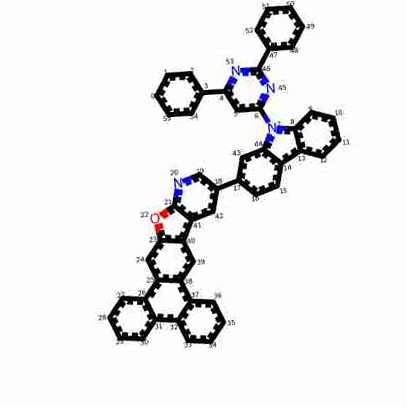 c1ccc(-c2cc(-n3c4ccccc4c4ccc(-c5cnc6oc7cc8c9ccccc9c9ccccc9c8cc7c6c5)cc43)nc(-c3ccccc3)n2)cc1